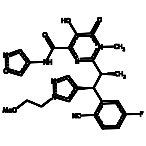 COCCn1cc([C@H](c2cc(F)ccc2C#N)[C@H](C)c2nc(C(=O)Nc3cnoc3)c(O)c(=O)n2C)cn1